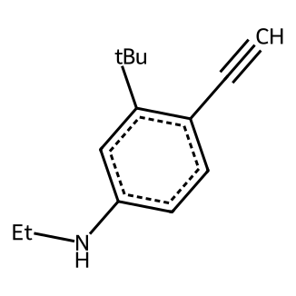 C#Cc1ccc(NCC)cc1C(C)(C)C